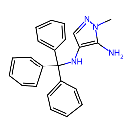 Cn1ncc(NC(c2ccccc2)(c2ccccc2)c2ccccc2)c1N